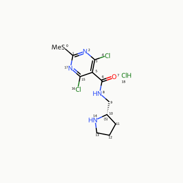 CSc1nc(Cl)c(C(=O)NC[C@@H]2CCCN2)c(Cl)n1.Cl